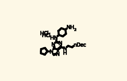 CCCCCCCCCCCCNc1nc(NC2CCC(N)CC2)nc2c1ncn2C1CCCC1.Cl.Cl